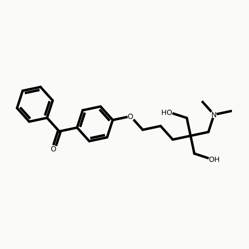 CN(C)CC(CO)(CO)CCCOc1ccc(C(=O)c2ccccc2)cc1